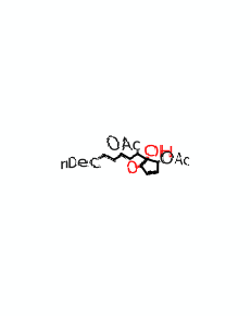 CCCCCCCCCCCCCCC(OC(C)=O)C1(O)C(=O)C=CC1OC(C)=O